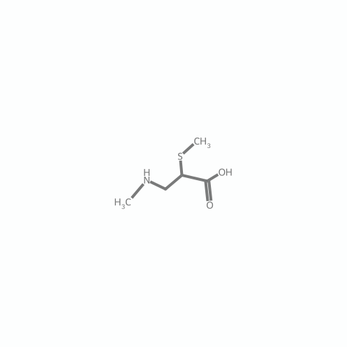 CNCC(SC)C(=O)O